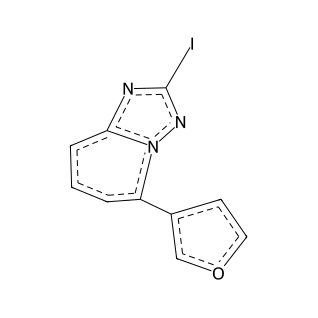 Ic1nc2cccc(-c3ccoc3)n2n1